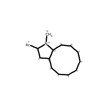 CC(=O)C1CC2CCCCCCCCC2N1C